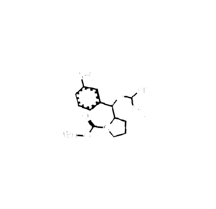 CC(C)(C)OC(=O)N1CCCC1C(OC(C(F)(F)F)C(F)(F)F)c1cccc(N)c1